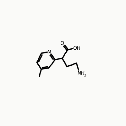 Cc1ccnc(C(CCN)C(=O)O)c1